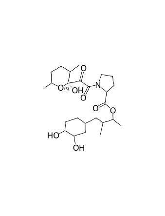 CC1CCC(C)[C@@](O)(C(=O)C(=O)N2CCCC2C(=O)OC(C)C(C)CC2CCC(O)C(O)C2)O1